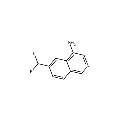 Nc1cncc2ccc(C(F)F)cc12